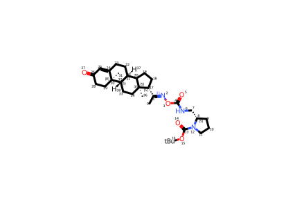 C/C(=N\OC(=O)NC[C@@H]1CCCN1C(=O)OC(C)(C)C)[C@H]1CCC2[C@@H]3CCC4=CC(=O)CC[C@]4(C)[C@H]3CC[C@@]21C